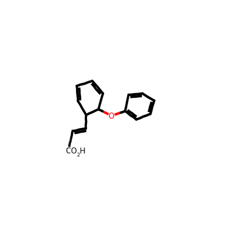 O=C(O)C=CC1C=CC=CC1Oc1ccccc1